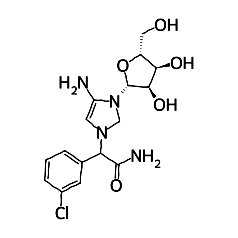 NC(=O)C(c1cccc(Cl)c1)N1C=C(N)N([C@@H]2O[C@H](CO)[C@@H](O)[C@H]2O)C1